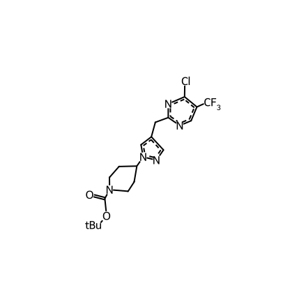 CC(C)(C)OC(=O)N1CCC(n2cc(Cc3ncc(C(F)(F)F)c(Cl)n3)cn2)CC1